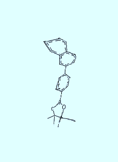 CC1(C)OB(c2ccc(-c3ccc4ccccc4c3)cc2)OC1(C)C